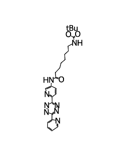 CC(C)(C)OC(=O)NCCCCCCCC(=O)Nc1ccc(-c2nnc(-c3ccccn3)nn2)nc1